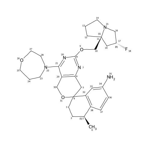 C[C@H]1CCC2(Cc3nc(OC[C@@]45CCCN4C[C@H](F)C5)nc(N4CCCOCC4)c3CO2)c2cc(N)ccc21